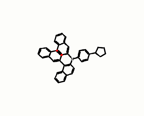 c1ccc2cc(-c3c(N(c4ccc(C5CCCC5)cc4)c4ccc5ccccc5c4)ccc4ccccc34)ccc2c1